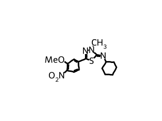 COc1cc(-c2nn(C)c(=NC3CCCCC3)s2)ccc1[N+](=O)[O-]